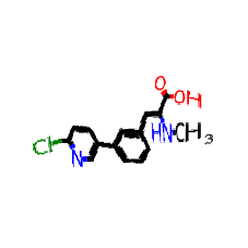 CNC(Cc1cccc(-c2ccc(Cl)nc2)c1)C(=O)O